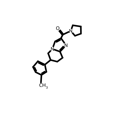 Cc1cccc(C2CCc3nc(C(=O)N4CCCC4)cn3C2)c1